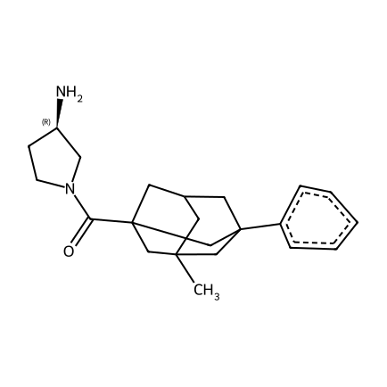 CC12CC3CC(C(=O)N4CC[C@@H](N)C4)(C1)CC(c1ccccc1)(C3)C2